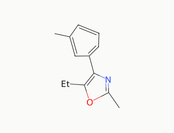 CCc1oc(C)nc1-c1cccc(C)c1